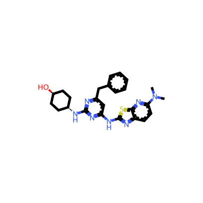 CN(C)c1ccc2nc(Nc3cc(Cc4ccccc4)nc(N[C@H]4CC[C@H](O)CC4)n3)sc2n1